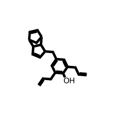 C=CCc1cc(CC2C=CC3C4C=CC(C4)C23)cc(CC=C)c1O